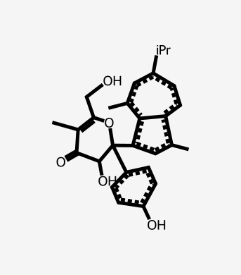 CC1=C(CO)OC(c2ccc(O)cc2)(c2cc(C)c3ccc(C(C)C)cc(C)c2-3)C(O)C1=O